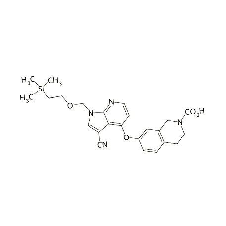 C[Si](C)(C)CCOCn1cc(C#N)c2c(Oc3ccc4c(c3)CN(C(=O)O)CC4)ccnc21